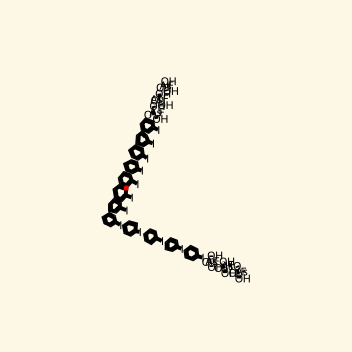 Ic1ccccc1.Ic1ccccc1.Ic1ccccc1.Ic1ccccc1.Ic1ccccc1.Ic1ccccc1.Ic1ccccc1.Ic1ccccc1.Ic1ccccc1.Ic1ccccc1.Ic1ccccc1.Ic1ccccc1.O=[As](O)(O)F.O=[As](O)(O)F.O=[As](O)(O)F.O=[As](O)(O)F.O=[As](O)(O)F.O=[As](O)(O)F